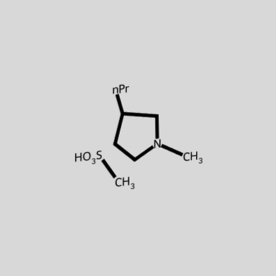 CCCC1CCN(C)C1.CS(=O)(=O)O